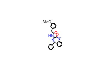 COc1cccc(CC(=O)N[C@@H]2N=C(c3ccccc3)c3ccccc3N(C)C2=O)c1